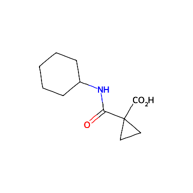 O=C(O)C1(C(=O)NC2CCCCC2)CC1